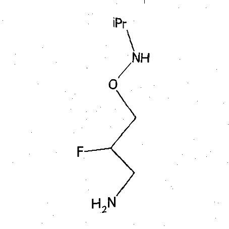 CC(C)NOCC(F)CN